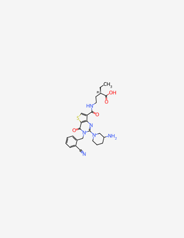 CC[C@H](CCNC(=O)c1csc2c(=O)n(Cc3ccccc3C#N)c(N3CCCC(N)C3)nc12)C(=O)O